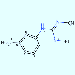 CCN/C(=N\C#N)Nc1cccc(C(=O)O)c1